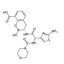 Nc1nc(C(NC(=O)N2CCOCC2)C(=O)N[C@H]2Cc3cccc(C(=O)O)c3OB2O)cs1